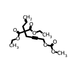 C=CCC(CC#CCOC(=O)OC)(C(=O)OCC)C(=O)OCC